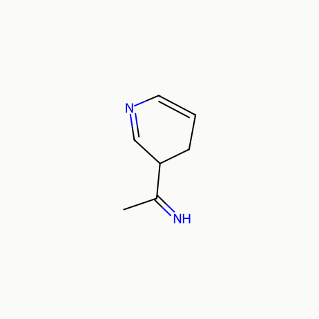 CC(=N)C1C=NC=CC1